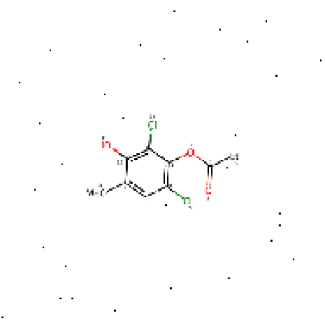 CCC(=O)Oc1c(Cl)cc(OC)c(O)c1Cl